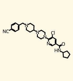 N#Cc1ccc(CN2CCC(N3CCN(c4ncc(C(=O)NC5CCCC5)cc4Cl)CC3)CC2)cc1